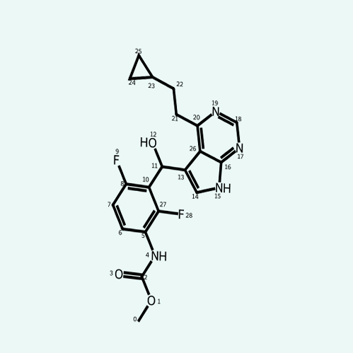 COC(=O)Nc1ccc(F)c(C(O)c2c[nH]c3ncnc(CCC4CC4)c23)c1F